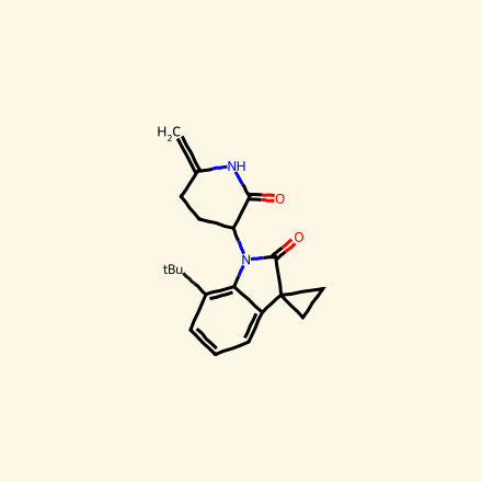 C=C1CCC(N2C(=O)C3(CC3)c3cccc(C(C)(C)C)c32)C(=O)N1